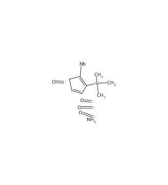 C[Si](C)(C)C1=[C]([Nb])CC=C1.N.[C]=O.[C]=O.[C]=O.[C]=O